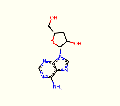 Nc1ncnc2c1ncn2[C@H]1O[C@@H](CO)CC1O